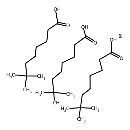 CC(C)(C)CCCCCC(=O)O.CC(C)(C)CCCCCC(=O)O.CC(C)(C)CCCCCC(=O)O.[Bi]